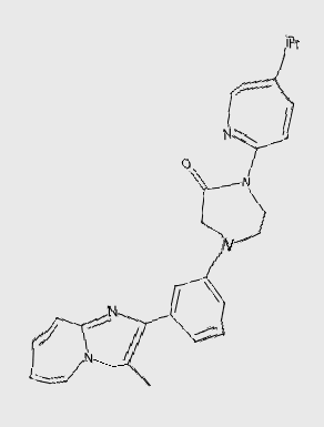 Cc1c(-c2cccc(N3CCN(c4ccc(C(C)C)cn4)C(=O)C3)c2)nc2ccccn12